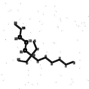 CCCCCCC(CC)(CC)OOOCC